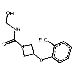 O=C(NCO)N1CC(Oc2ccccc2C(F)(F)F)C1